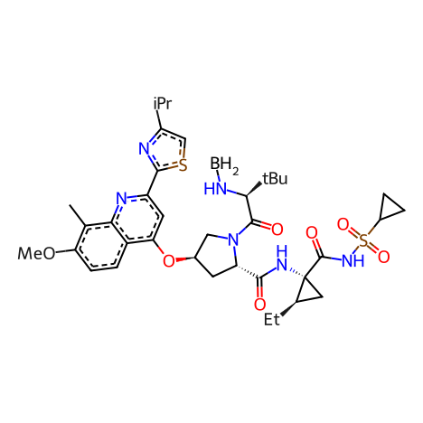 BN[C@H](C(=O)N1C[C@H](Oc2cc(-c3nc(C(C)C)cs3)nc3c(C)c(OC)ccc23)C[C@H]1C(=O)N[C@]1(C(=O)NS(=O)(=O)C2CC2)C[C@H]1CC)C(C)(C)C